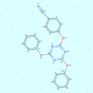 N#Cc1ccc(Oc2nc(Oc3ccccc3)nc(Oc3ccccc3)n2)cc1